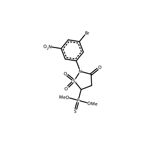 COP(=S)(OC)C1CC(=O)N(c2cc(Br)cc([N+](=O)[O-])c2)S1(=O)=O